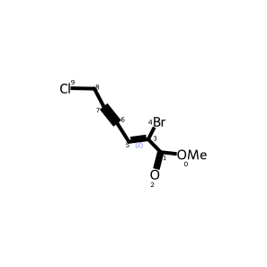 COC(=O)/C(Br)=C/C#CCCl